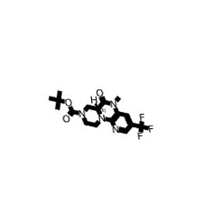 CN1C(=O)[C@H]2CN(C(=O)OC(C)(C)C)CCN2c2ncc(C(F)(F)F)cc21